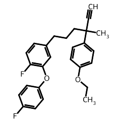 C#CC(C)(CCCc1ccc(F)c(Oc2ccc(F)cc2)c1)c1ccc(OCC)cc1